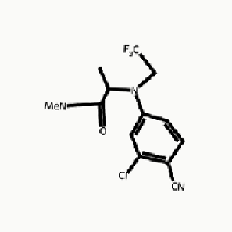 CNC(=O)C(C)N(CC(F)(F)F)c1ccc(C#N)c(Cl)c1